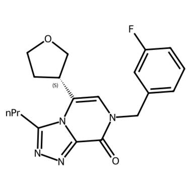 CCCc1nnc2c(=O)n(Cc3cccc(F)c3)cc([C@@H]3CCOC3)n12